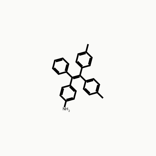 Cc1ccc(C(=C(c2ccccc2)c2ccc(N)cc2)c2ccc(C)cc2)cc1